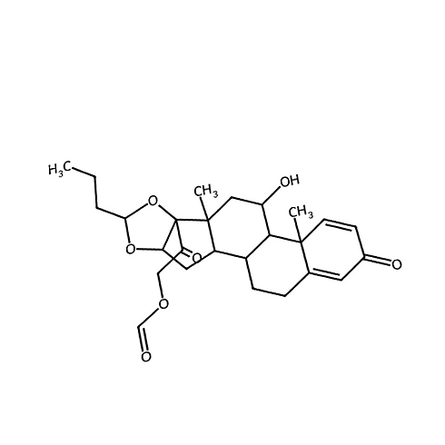 CCCC1OC2CC3C4CCC5=CC(=O)C=CC5(C)C4C(O)CC3(C)C2(C(=O)COC=O)O1